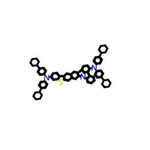 c1ccc2c(c1)c1c(N(c3ccc(C4CCCCC4)cc3)c3ccc(C4CCCCC4)cc3)ccc3c4cc5cc6c(cc5cc4n2c31)sc1cc(N(c2ccc(C3CCCCC3)cc2)c2ccc(C3CCCCC3)cc2)ccc16